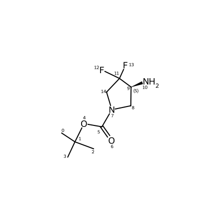 CC(C)(C)OC(=O)N1C[C@H](N)C(F)(F)C1